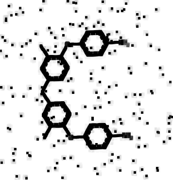 Cc1cc(Cc2ccc(Oc3ccc(N)cc3)c(C)c2)ccc1Oc1ccc(N)cc1